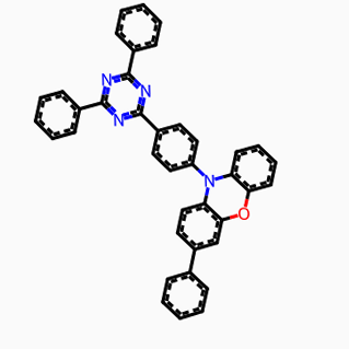 c1ccc(-c2ccc3c(c2)Oc2ccccc2N3c2ccc(-c3nc(-c4ccccc4)nc(-c4ccccc4)n3)cc2)cc1